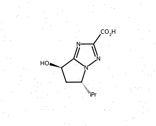 CC(C)[C@@H]1C[C@@H](O)c2nc(C(=O)O)nn21